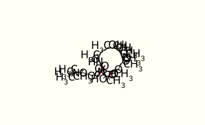 CO[C@H]1/C=C/O[C@@]2(C)Oc3c(C)c(O)c4c(=O)c(c5oc6cc(OCCOCC[N+](C)(C)C(C)C)ccc6nc-5c4c3C2=O)NC(=O)/C(C)=C\C=C\[C@H](C)[C@H](O)[C@@H](C)[C@@H](O)[C@@H](C)[C@H](OC(C)=O)[C@@H]1C